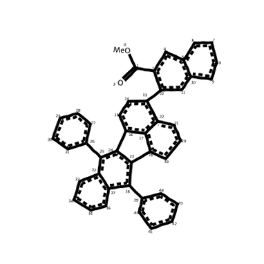 COC(=O)c1cc2ccccc2cc1-c1ccc2c3c(cccc13)-c1c-2c(-c2ccccc2)c2ccccc2c1-c1ccccc1